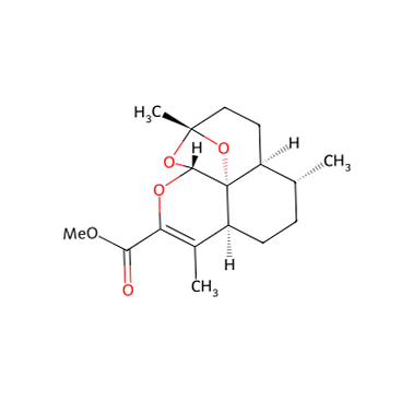 COC(=O)C1=C(C)[C@@H]2CC[C@@H](C)[C@@H]3CC[C@@]4(C)O[C@@H](O1)[C@]23O4